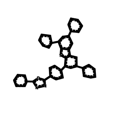 c1ccc(-c2cc(-c3ccccc3)c3sc4c(-c5ccc(-c6nnc(-c7ccccc7)o6)cc5)cc(-c5ccccc5)cc4c3c2)cc1